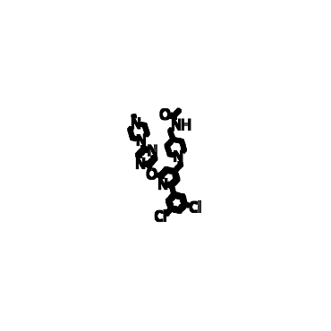 CC(=O)NCC1CCN(Cc2cc(Oc3cnc(N4CCN(C)CC4)cn3)nc(-c3cc(Cl)cc(Cl)c3)c2)CC1